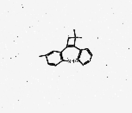 CC(=O)Nc1ccc(C)cc1C1=C(c2ccccc2)C(C)(C)C1